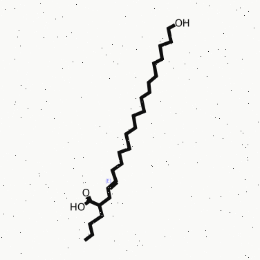 CCCCC(C/C=C/CCCCCCCCCCCCCCCCCO)C(=O)O